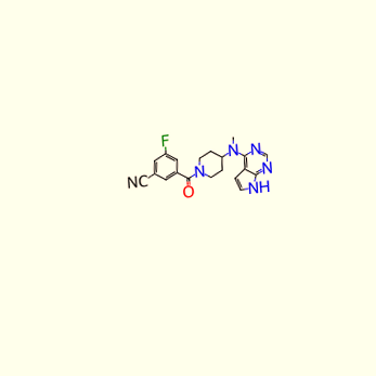 CN(c1ncnc2[nH]ccc12)C1CCN(C(=O)c2cc(F)cc(C#N)c2)CC1